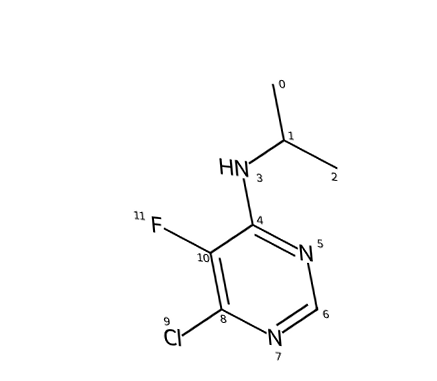 CC(C)Nc1ncnc(Cl)c1F